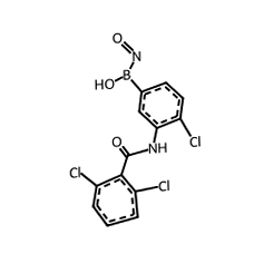 O=NB(O)c1ccc(Cl)c(NC(=O)c2c(Cl)cccc2Cl)c1